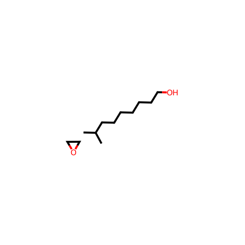 C1CO1.CC(C)CCCCCCCO